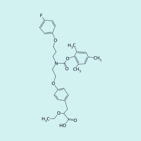 CCOC(Cc1ccc(OCCN(CCCOc2ccc(F)cc2)C(=O)Oc2c(C)cc(C)cc2C)cc1)C(=O)O